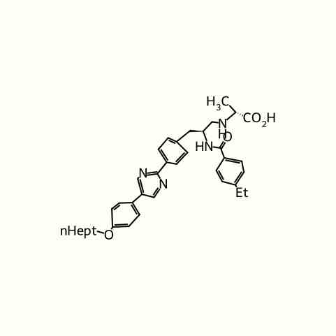 CCCCCCCOc1ccc(-c2cnc(-c3ccc(C[C@@H](CN[C@H](C)C(=O)O)NC(=O)c4ccc(CC)cc4)cc3)nc2)cc1